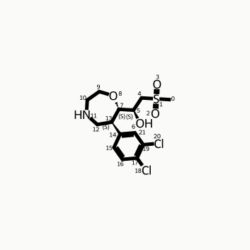 CS(=O)(=O)C[C@@H](O)[C@H]1OCCNC[C@@H]1c1ccc(Cl)c(Cl)c1